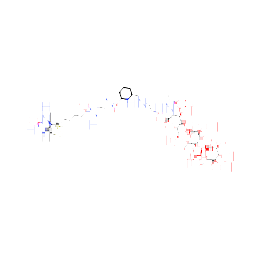 CC(=O)NC1C(O)[C@H](O[C@@H]2OC(CO)[C@H](O)C(O[C@H]3OC(CO)[C@H](O)C(O)C3O)[C@@H]2O)C(CO)O[C@H]1OCCCNCc1cccc(C(=O)NCCNC(=O)CCCC[C@@H]2SC[C@@H]3NC(=O)N[C@@H]32)c1